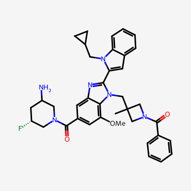 COc1cc(C(=O)N2CC(N)C[C@@H](F)C2)cc2nc(-c3cc4ccccc4n3CC3CC3)n(CC3(C)CN(C(=O)c4ccccc4)C3)c12